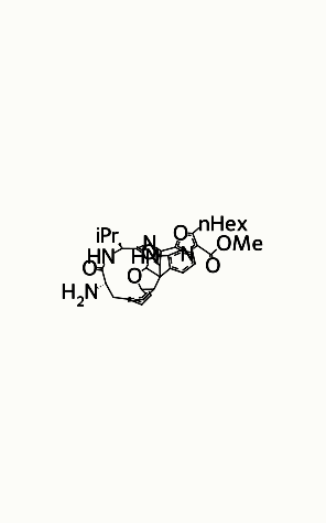 CCCCCCc1oc(-c2nc3oc2C24c5ccccc5NC2Oc2ccc(cc24)C[C@H](N)C(=O)N[C@H]3C(C)C)nc1C(=O)OC